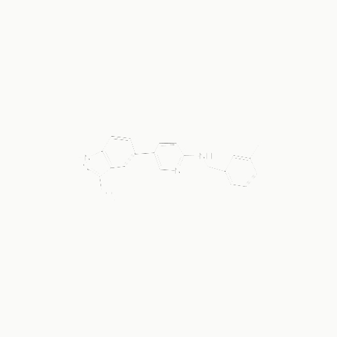 Cc1cccc(CNc2ccc(-c3ccc4[nH]nc(C(=O)O)c4c3)cn2)c1